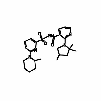 CC1CN(c2ncccc2C(=O)NS(=O)(=O)c2cccc(N3CCCCC3C)n2)C(C)(C)C1